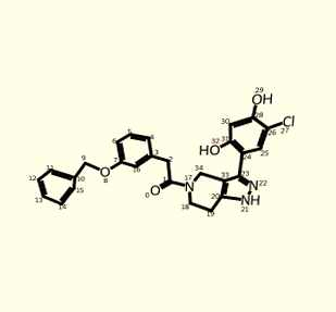 O=C(Cc1cccc(OCc2ccccc2)c1)N1CCc2[nH]nc(-c3cc(Cl)c(O)cc3O)c2C1